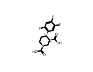 O=C(O)[C@H]1CN(C(=O)O)CC[C@@H]1c1cc(F)c(F)cc1F